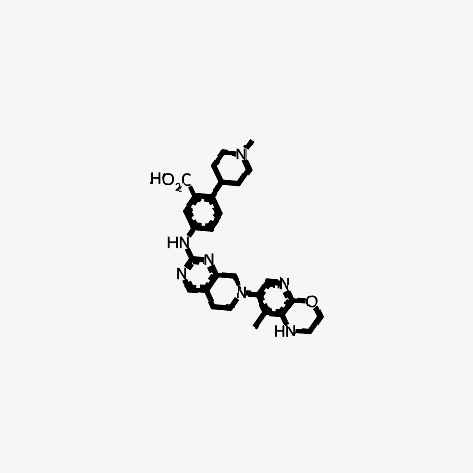 Cc1c(N2CCc3cnc(Nc4ccc(C5CCN(C)CC5)c(C(=O)O)c4)nc3C2)cnc2c1NCCO2